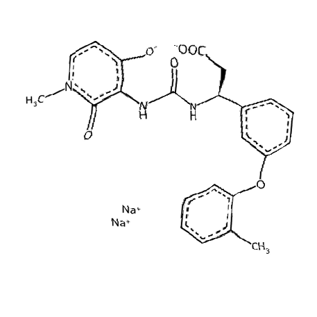 Cc1ccccc1Oc1cccc([C@H](CC(=O)[O-])NC(=O)Nc2c([O-])ccn(C)c2=O)c1.[Na+].[Na+]